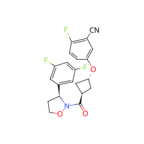 N#Cc1cc(O[C@H]2C[C@H](C(=O)N3OCC[C@H]3c3cc(F)cc(F)c3)C2)ccc1F